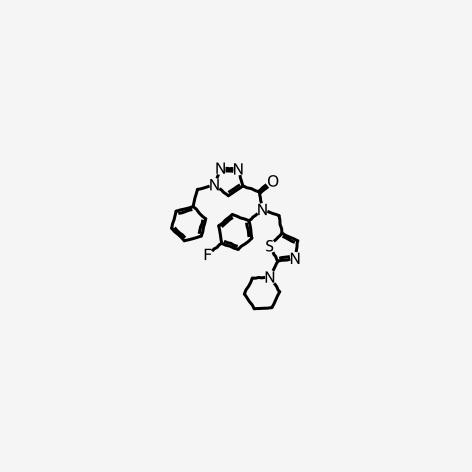 O=C(c1cn(Cc2ccccc2)nn1)N(Cc1cnc(N2CCCCC2)s1)c1ccc(F)cc1